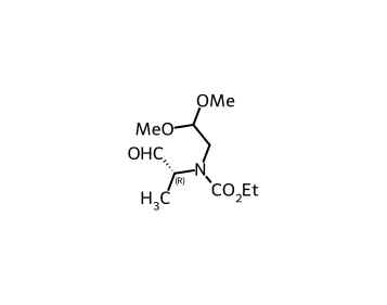 CCOC(=O)N(CC(OC)OC)[C@H](C)C=O